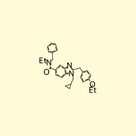 CCOc1ccc(Cc2nc3cc(C(=O)N(CC)Cc4ccccc4)ccc3n2CC2CC2)cc1